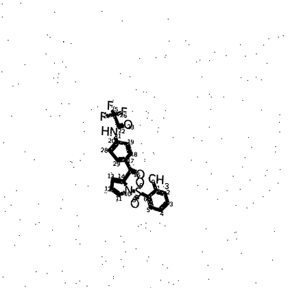 Cc1ccccc1S(=O)(=O)n1cccc1C(=O)c1ccc(NC(=O)C(F)(F)F)cc1